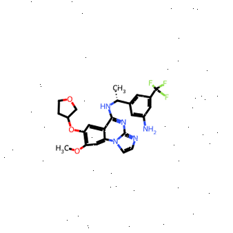 COc1cc2c(cc1OC1CCOC1)c(N[C@H](C)c1cc(N)cc(C(F)(F)F)c1)nc1nccn12